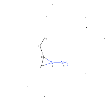 CCC1CN1N